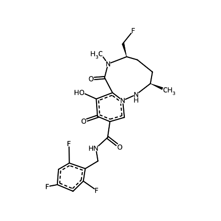 C[C@@H]1CC[C@H](CF)N(C)C(=O)c2c(O)c(=O)c(C(=O)NCc3c(F)cc(F)cc3F)cn2N1